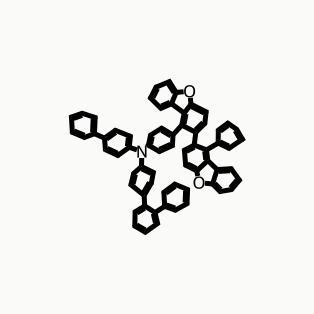 c1ccc(-c2ccc(N(c3ccc(-c4ccccc4-c4ccccc4)cc3)c3ccc(-c4c(-c5ccc6oc7ccccc7c6c5-c5ccccc5)ccc5oc6ccccc6c45)cc3)cc2)cc1